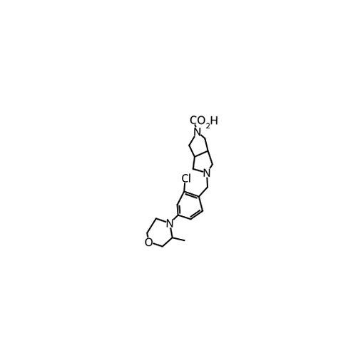 CC1COCCN1c1ccc(CN2CC3CN(C(=O)O)CC3C2)c(Cl)c1